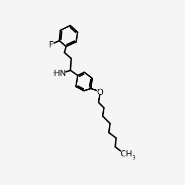 CCCCCCCCOc1ccc(C([NH])CCc2ccccc2F)cc1